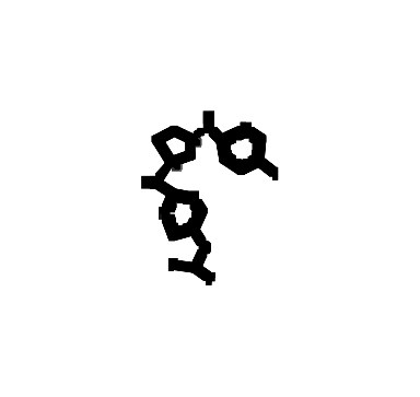 FC(F)Oc1cnc(N[C@H]2CC[C@H](Nc3ccc(I)cn3)C2)nc1